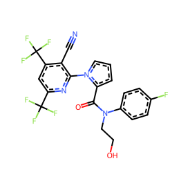 N#Cc1c(C(F)(F)F)cc(C(F)(F)F)nc1-n1cccc1C(=O)N(CCO)c1ccc(F)cc1